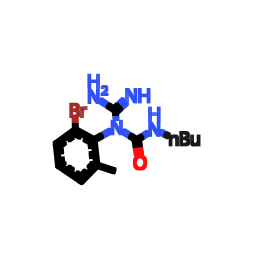 CCCCNC(=O)N(C(=N)N)c1c(C)cccc1Br